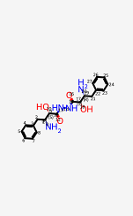 N[C@H](Cc1ccccc1)[C@H](O)C(=O)NNC(=O)[C@@H](O)[C@H](N)Cc1ccccc1